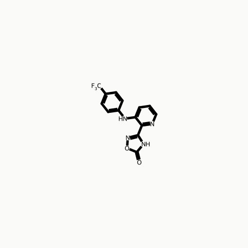 O=c1[nH]c(-c2ncccc2Nc2ccc(C(F)(F)F)cc2)no1